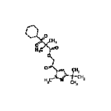 Cn1nc(C(C)(C)C)cc1C(=O)COC(=O)C(C)(C)S(=O)(=O)C1CCCCC1